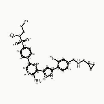 CC(CCF)S(=O)(=O)c1ccc(-c2cnc(N)c(-c3cc(-c4ccc(CNCC5CC5)cc4F)no3)n2)cc1